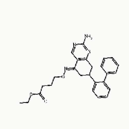 CCOC(=O)CCCON=C1CC(c2ccccc2-c2ccccc2)Cc2nc(N)ncc21